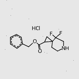 Cl.O=C(OCc1ccccc1)C1CC12CCNCC2(F)F